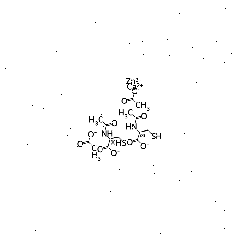 CC(=O)N[C@@H](CS)C(=O)[O-].CC(=O)N[C@@H](CS)C(=O)[O-].CC(=O)[O-].CC(=O)[O-].[Ca+2].[Zn+2]